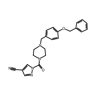 N#Cc1cnn(C(=O)N2CCN(Cc3ccc(OCc4ccccc4)cc3)CC2)c1